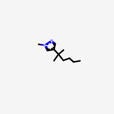 CCCCC(C)(C)c1cnn(C)c1